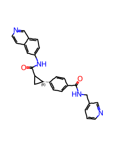 O=C(NCc1cccnc1)c1ccc([C@@H]2CC2C(=O)Nc2ccc3cnccc3c2)cc1